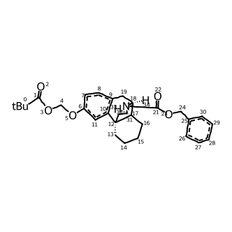 CC(C)(C)C(=O)OCOc1ccc2c(c1)[C@]13CCCC[C@@H]1[C@H](C2)N(C(=O)OCc1ccccc1)CC3